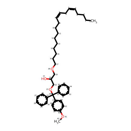 CCCC/C=C\C/C=C\CCCCCCCCCOCC(O)COC(c1ccccc1)(c1ccccc1)c1ccc(OC)cc1